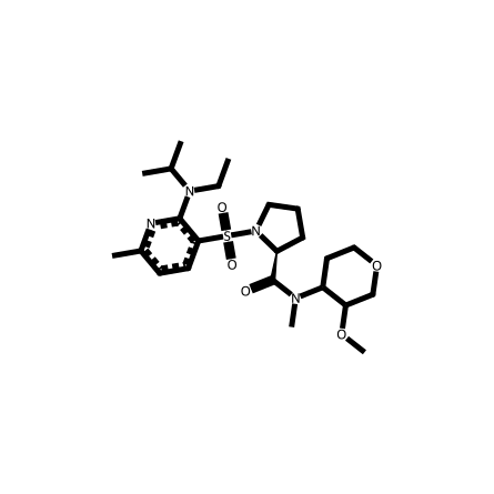 CCN(c1nc(C)ccc1S(=O)(=O)N1CCC[C@H]1C(=O)N(C)C1CCOCC1OC)C(C)C